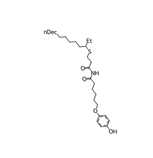 CCCCCCCCCCCCCCCC(CC)SCCC(=O)NC(=O)CCCCCOc1ccc(O)cc1